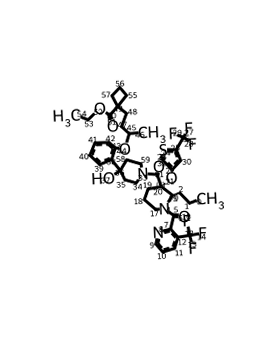 CCC[C@H]1N(C(=O)c2ncccc2C(F)(F)F)CCC[C@@]1(Oc1csc(C(F)(F)F)c1)C(=O)N1CCC(O)(c2ccccc2OC(C)CCC2(C(=O)OCC)CCC2)CC1